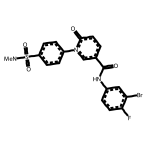 CNS(=O)(=O)c1ccc(-n2cc(C(=O)Nc3ccc(F)c(Br)c3)ccc2=O)cc1